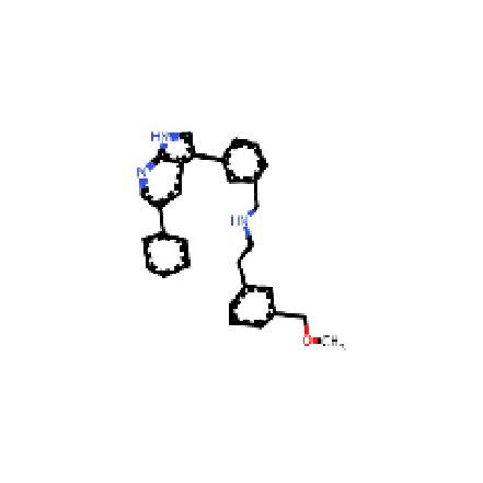 COCc1cccc(CCNCc2cccc(-c3c[nH]c4ncc(-c5ccccc5)cc34)c2)c1